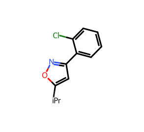 CC(C)c1cc(-c2ccccc2Cl)no1